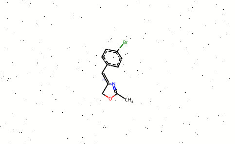 CC1=N/C(=C\c2ccc(Br)cc2)CO1